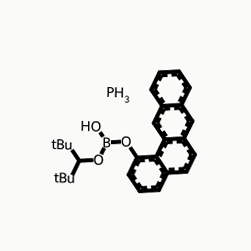 CC(C)(C)C(OB(O)Oc1cccc2ccc3cc4ccccc4cc3c12)C(C)(C)C.P